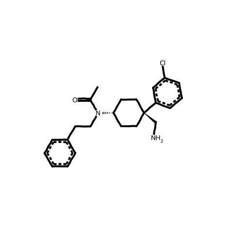 CC(=O)N(CCc1ccccc1)[C@H]1CC[C@@](CN)(c2cccc(Cl)c2)CC1